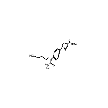 CNC(=O)c1ccc(-c2ccc([C@@H](CCCCO)C(=O)NO)cc2)cc1